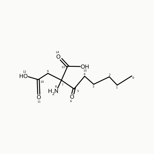 CCCCCC(=O)C(N)(CC(=O)O)C(=O)O